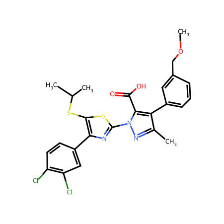 COCc1cccc(-c2c(C)nn(-c3nc(-c4ccc(Cl)c(Cl)c4)c(SC(C)C)s3)c2C(=O)O)c1